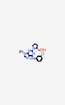 CC(C)n1cnc2c(Nc3cccc(Cl)c3)nc(N3CCC[C@@H]3CO)nc21